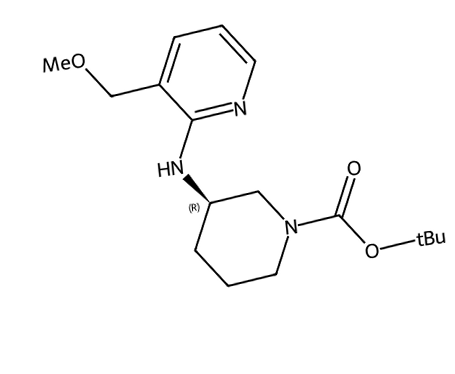 COCc1cccnc1N[C@@H]1CCCN(C(=O)OC(C)(C)C)C1